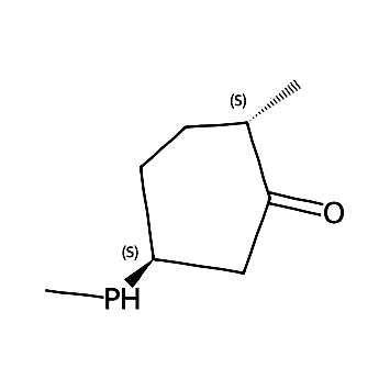 CP[C@H]1CC[C@H](C)C(=O)C1